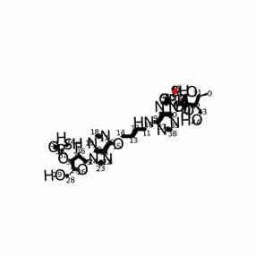 C[C@@H]1O[C@H]2[C@H](n3cnc4c(NC/C=C/COc5ncnc6c5ncn6[C@@H]5O[C@H](CO)[C@@H](O[PH](=O)S)[C@H]5F)ncnc43)O[C@]1(CO)[C@H]2O[PH](=O)S